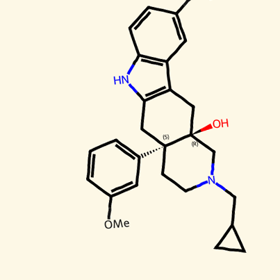 COc1cccc([C@@]23CCN(CC4CC4)C[C@@]2(O)Cc2c([nH]c4ccc([N+](=O)[O-])cc24)C3)c1